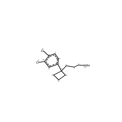 CNCCCC1(c2ccc(Cl)c(Cl)c2)CCC1